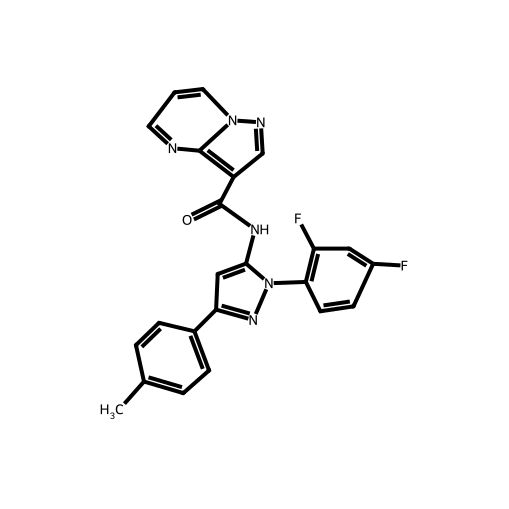 Cc1ccc(-c2cc(NC(=O)c3cnn4cccnc34)n(-c3ccc(F)cc3F)n2)cc1